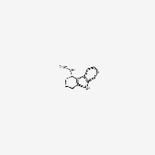 O=CNC1CCCc2[nH]c3ccccc3c21